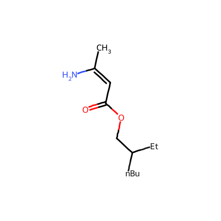 CCCCC(CC)COC(=O)C=C(C)N